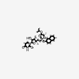 CC(C)OC(=O)[C@H](C)NP(=S)(OC[C@@]1(C)O[C@@H](n2ccc(=O)[nH]c2=O)[C@H](O)[C@@H]1F)Oc1ccc2ccccc2c1